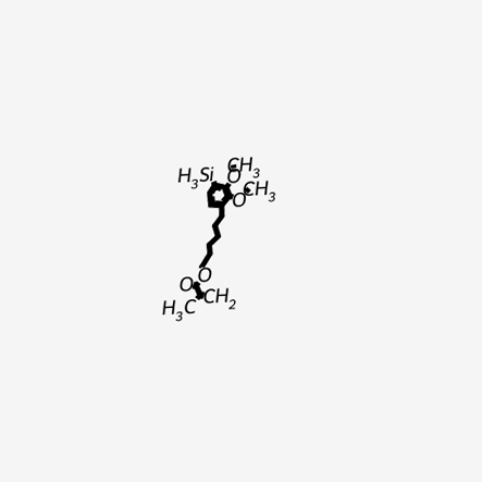 C=C(C)C(=O)OCCCCCCc1ccc([SiH3])c(OC)c1OC